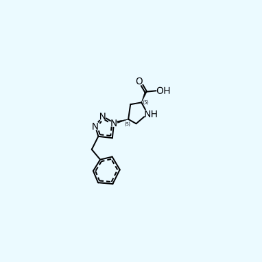 O=C(O)[C@@H]1C[C@H](n2cc(Cc3ccccc3)nn2)CN1